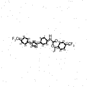 CC(OC(=O)Nc1ccc(-c2ncn(-c3ccc(C(F)(F)F)cc3)n2)cc1)c1ccc(C(F)(F)F)cc1